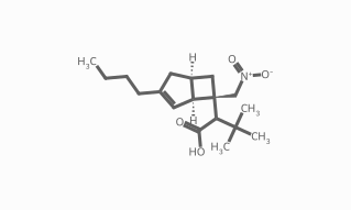 CCCCC1=C[C@H]2[C@@H](C1)C[C@]2(C[N+](=O)[O-])C(C(=O)O)C(C)(C)C